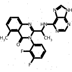 Cc1cccc2nc(C(C)Nc3ncnc4[nH]cnc34)n(-c3cccc(F)c3F)c(=O)c12